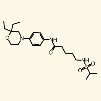 CCC1(CC)CN(c2ccc(NC(=O)CCCCNS(=O)(=O)C(C)C)cc2)CCO1